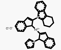 C1=[C]([Hf+2][CH]2C(n3c4c(c5ccccc53)CCCC4)=Cc3ccccc32)C(n2cccc2)c2ccccc21.[Cl-].[Cl-]